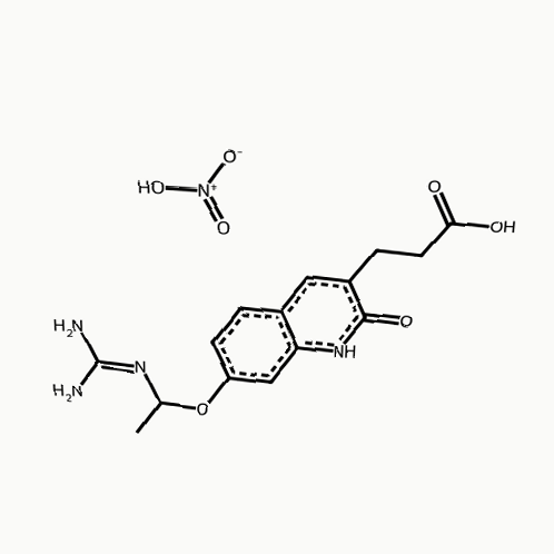 CC(N=C(N)N)Oc1ccc2cc(CCC(=O)O)c(=O)[nH]c2c1.O=[N+]([O-])O